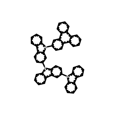 c1ccc2c(c1)c1ccccc1c1cc(-n3c4ccccc4c4ccc(-n5c6ccccc6c6cc(-n7c8ccccc8c8ccccc87)ccc65)cc43)ccc21